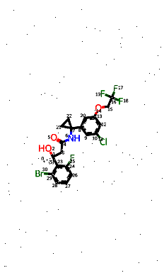 C[C@](O)(CC(=O)NC1(c2cc(Cl)cc(OCC(F)(F)F)c2)CC1)c1c(F)cccc1Br